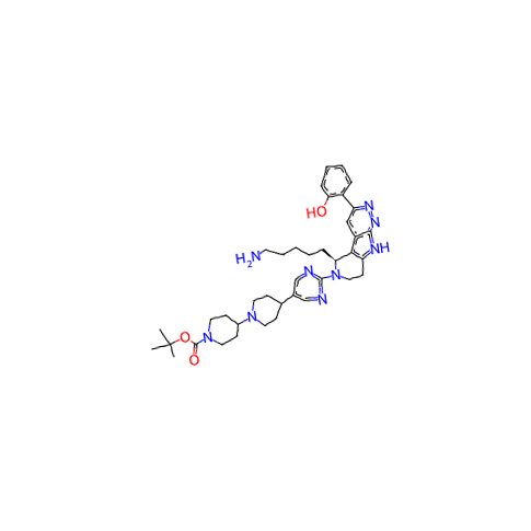 CC(C)(C)OC(=O)N1CCC(N2CCC(c3cnc(N4CCc5[nH]c6nnc(-c7ccccc7O)cc6c5[C@@H]4CCCCCN)nc3)CC2)CC1